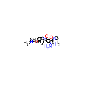 C=C(C(=O)N1CCCC1)c1cc(C(=O)N2Cc3ccc(OCCN(C)C)cc3C2)c(C)cc1NN